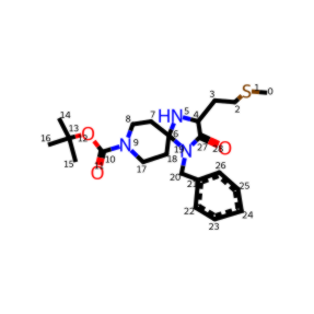 CSCCC1NC2(CCN(C(=O)OC(C)(C)C)CC2)N(Cc2ccccc2)C1=O